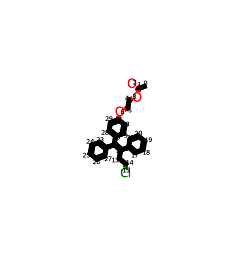 CC(=O)OCCOc1ccc(C(=C(CCCl)c2ccccc2)c2ccccc2)cc1